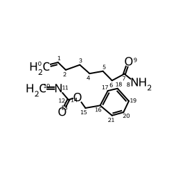 C=CCCCCCC(N)=O.C=NC(=O)OCc1ccccc1